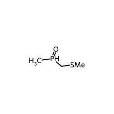 CSC[PH](C)=O